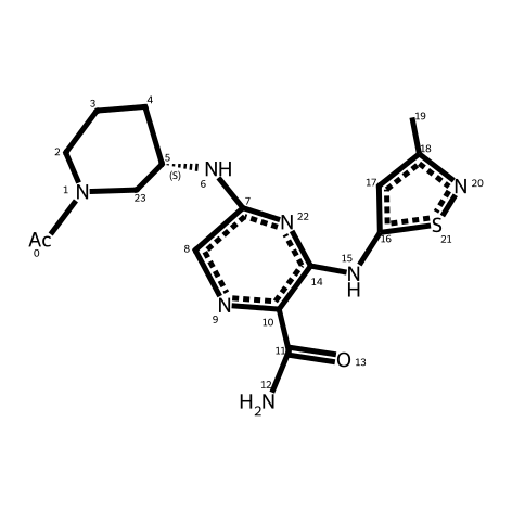 CC(=O)N1CCC[C@H](Nc2cnc(C(N)=O)c(Nc3cc(C)ns3)n2)C1